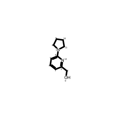 OCc1cccc(N2CCCC2)n1